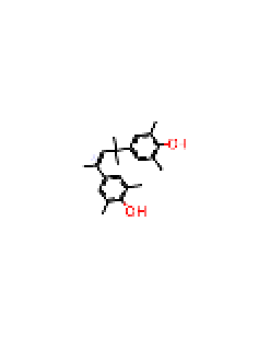 C/C(=C/C(C)(C)c1cc(C)c(O)c(C)c1)c1cc(C)c(O)c(C)c1